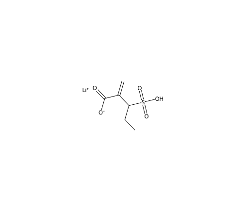 C=C(C(=O)[O-])C(CC)S(=O)(=O)O.[Li+]